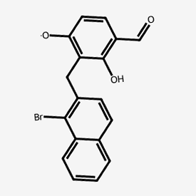 [O]c1ccc(C=O)c(O)c1Cc1ccc2ccccc2c1Br